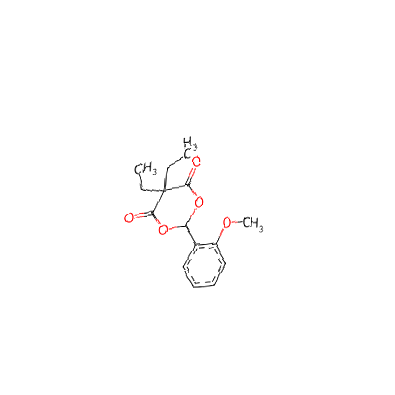 CCC1(CC)C(=O)OC(c2ccccc2OC)OC1=O